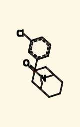 O=C1CC2CCCC(C1)N2Cc1cccc(Cl)c1